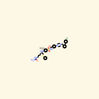 Cc1cc(S(=O)(=O)NC(=O)c2ccc(N3CCN(Cc4ccccc4-c4ccc(Cl)cc4)CC3)cc2)ccc1N[C@H](CCCCNC(N)=O)CSc1ccccc1